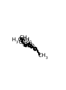 CCCCCc1ccc(-c2cc3cn([C@H]4CC[C@@H](COC(=O)C(N)C(C)C)O4)c(=O)nc3o2)cc1